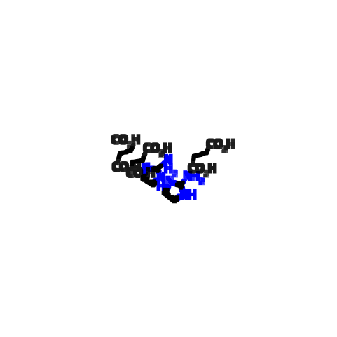 Nc1ncc[nH]1.Nc1ncc[nH]1.O=C(O)CCC(=O)O.O=C(O)CCC(=O)O.O=C(O)CCC(=O)O